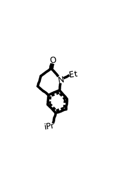 CCN1C(=O)CCc2cc(C(C)C)ccc21